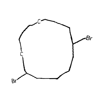 BrC1CCCCCCC(Br)CCCC1